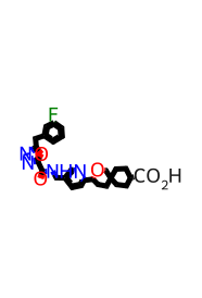 O=C(NCc1ccc(C2CCC3(CCC(C(=O)O)CC3)CO2)nc1)c1nnc(Cc2cccc(F)c2)o1